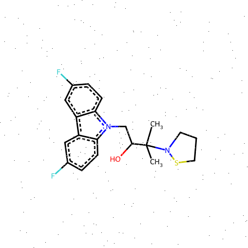 CC(C)(C(O)Cn1c2ccc(F)cc2c2cc(F)ccc21)N1CCCS1